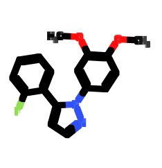 COc1ccc(-n2nccc2-c2ccccc2F)cc1OC